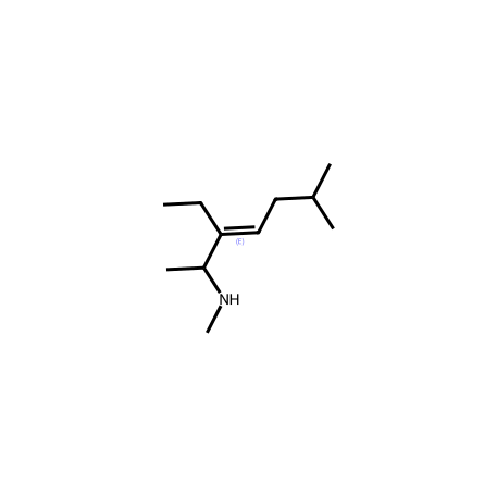 CC/C(=C\CC(C)C)C(C)NC